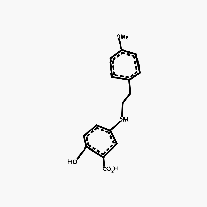 COc1ccc(CCNc2ccc(O)c(C(=O)O)c2)cc1